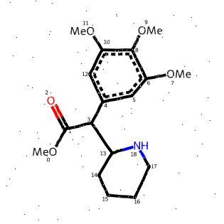 COC(=O)C(c1cc(OC)c(OC)c(OC)c1)C1CCCCN1